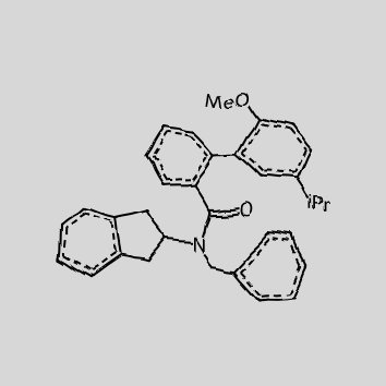 COc1ccc(C(C)C)cc1-c1ccccc1C(=O)N(Cc1ccccc1)C1Cc2ccccc2C1